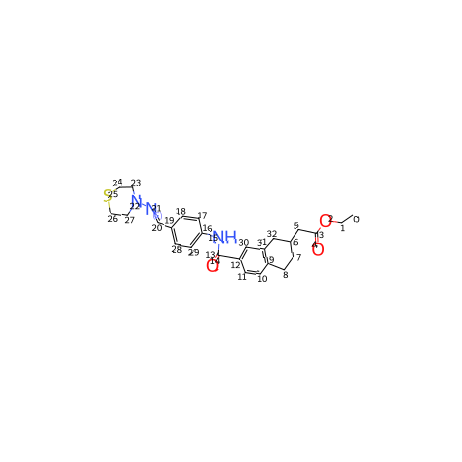 CCOC(=O)CC1CCc2ccc(C(=O)Nc3ccc(/C=N/N4CCSCC4)cc3)cc2C1